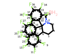 BCN1CCCC(c2c(F)c(F)c(F)c(F)c2F)C1(c1c(F)c(F)c(F)c(F)c1F)c1c(F)c(F)c(F)c(F)c1F